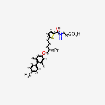 CCCC(CCCc1ccc(C(=O)NCCC(=O)O)s1)COc1cc(C)c(-c2ccc(C(F)(F)F)cc2)c(C)c1